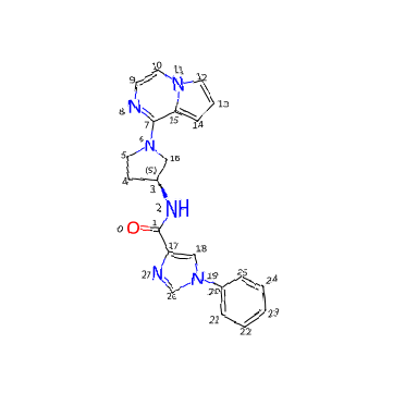 O=C(N[C@H]1CCN(c2nccn3cccc23)C1)c1cn(-c2ccccc2)cn1